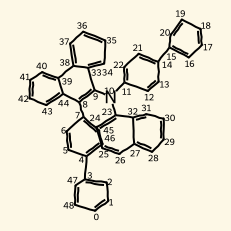 c1ccc(-c2ccc(-c3c(N(c4ccc(-c5ccccc5)cc4)c4cccc5ccccc45)c4ccccc4c4ccccc34)cc2)cc1